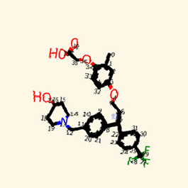 Cc1cc(OC/C=C(\c2ccc(CN3CCC(O)CC3)cc2)c2ccc(C(F)(F)F)cc2)ccc1OCC(=O)O